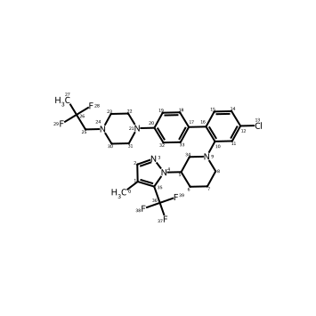 Cc1cnn(C2CCCN(c3cc(Cl)ccc3-c3ccc(N4CCN(CC(C)(F)F)CC4)cc3)C2)c1C(F)(F)F